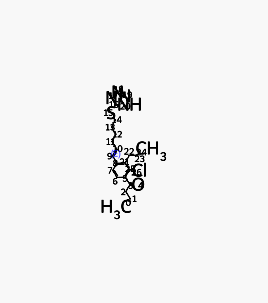 CCCC(=O)c1ccc(/C=C/CCCCSc2nnn[nH]2)c(CCC)c1Cl